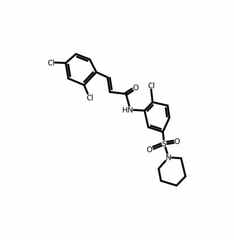 O=C(C=Cc1ccc(Cl)cc1Cl)Nc1cc(S(=O)(=O)N2CCCCC2)ccc1Cl